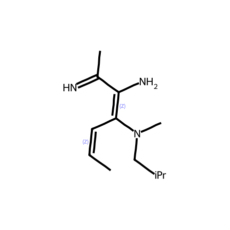 C/C=C\C(=C(\N)C(C)=N)N(C)CC(C)C